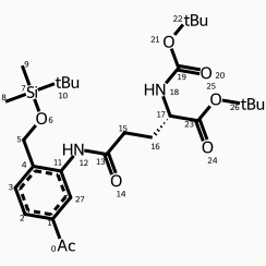 CC(=O)c1ccc(CO[Si](C)(C)C(C)(C)C)c(NC(=O)CC[C@H](NC(=O)OC(C)(C)C)C(=O)OC(C)(C)C)c1